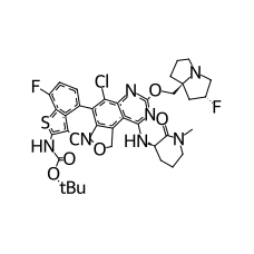 CN1CCC[C@@H](Nc2nc(OC[C@@]34CCCN3C[C@H](F)C4)nc3c(Cl)c(-c4ccc(F)c5sc(NC(=O)OC(C)(C)C)c(C#N)c45)c4c(c23)COC4)C1=O